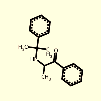 CC(PC(C)(C)c1ccccc1)C(=O)c1ccccc1